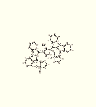 CCn1c(-n2c3ccccc3c3c4ccccc4n(C4=CC=CS4(=O)=O)c32)ccc1-n1c2ccccc2c2c3ccccc3n(C3=CC=CS3(=O)=O)c21